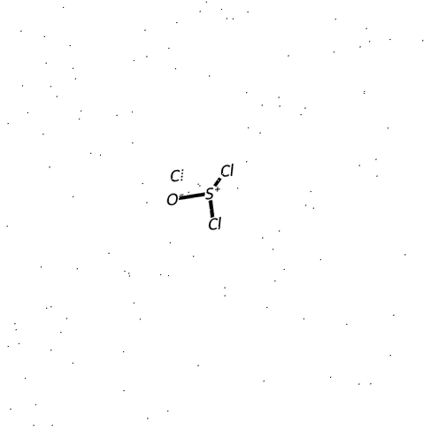 [C].[O-][S+](Cl)Cl